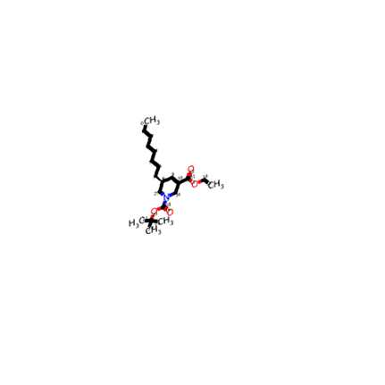 CCCCCCCC[C@H]1CC(C(=O)OCC)CN(C(=O)OC(C)(C)C)C1